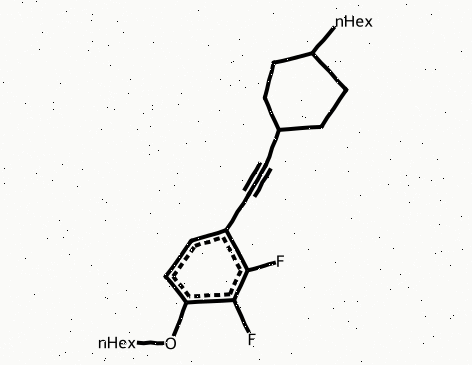 CCCCCCOc1ccc(C#CC2CCC(CCCCCC)CC2)c(F)c1F